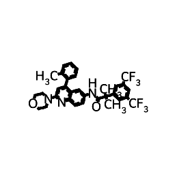 Cc1ccccc1-c1cc(N2CCOCC2)nc2ccc(NC(=O)C(C)(C)c3cc(C(F)(F)F)cc(C(F)(F)F)c3)cc12